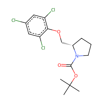 CC(C)(C)OC(=O)N1CCC[C@H]1COc1c(Cl)cc(Cl)cc1Cl